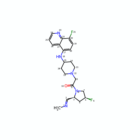 CN=C[C@@H]1C[C@H](F)CN1C(=O)CN1CCC(Nc2ccc(F)c3ncccc23)CC1